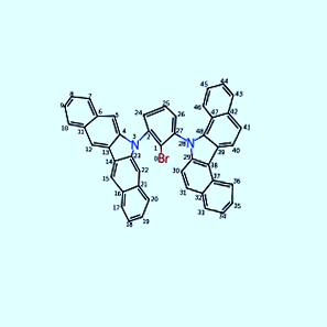 Brc1c(-n2c3cc4ccccc4cc3c3cc4ccccc4cc32)cccc1-n1c2ccc3ccccc3c2c2ccc3ccccc3c21